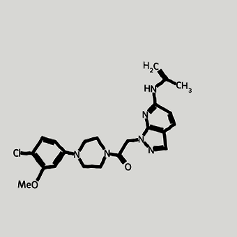 C=C(C)Nc1ccc2cnn(CC(=O)N3CCN(c4ccc(Cl)c(OC)c4)CC3)c2n1